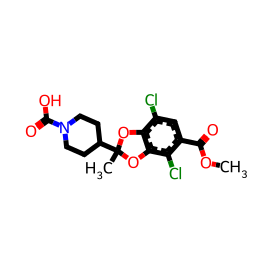 COC(=O)c1cc(Cl)c2c(c1Cl)OC(C)(C1CCN(C(=O)O)CC1)O2